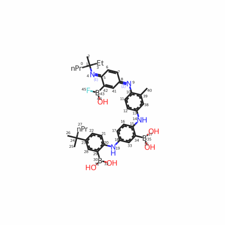 CCCC(C)(CC)/N=C1C=C/C(=N/c2ccc(Nc3ccc(Nc4ccc(C(C)(C)CCC)cc4B(O)O)cc3B(O)O)cc2C)C=C\1B(O)F